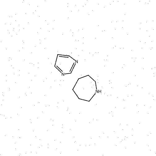 C1CCCNCC1.c1cncnc1